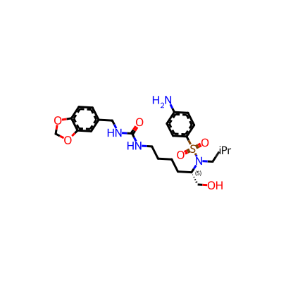 CC(C)CN([C@H](CO)CCCCNC(=O)NCc1ccc2c(c1)OCO2)S(=O)(=O)c1ccc(N)cc1